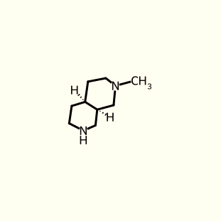 CN1CC[C@@H]2CCNC[C@@H]2C1